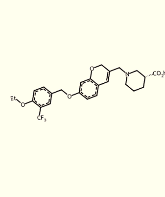 CCOc1ccc(COc2ccc3c(c2)OCC(CN2CCC[C@@H](C(=O)O)C2)=C3)cc1C(F)(F)F